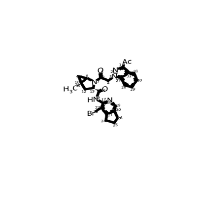 CC(=O)c1nn(CC(=O)N2C3C[C@]3(C)C[C@H]2C(=O)Nc2ncc3c(c2Br)CCC3)c2ccccc12